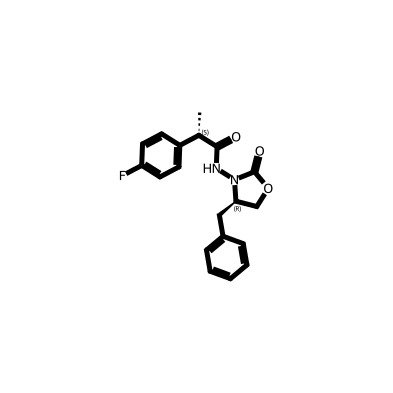 C[C@H](C(=O)NN1C(=O)OC[C@H]1Cc1ccccc1)c1ccc(F)cc1